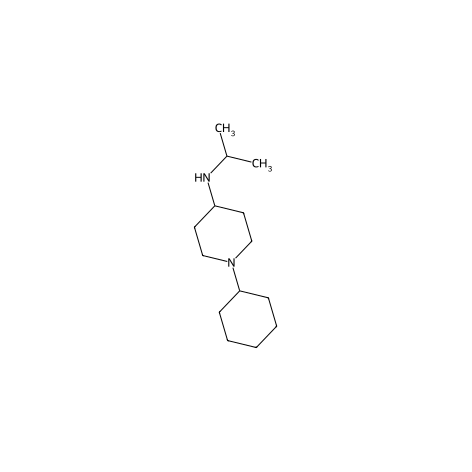 CC(C)NC1CCN(C2CCCCC2)CC1